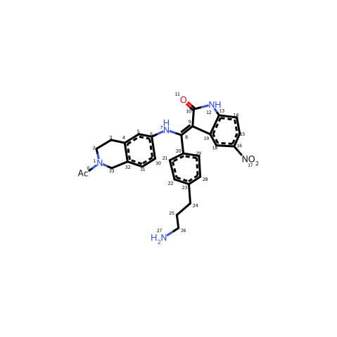 CC(=O)N1CCc2cc(NC(=C3C(=O)Nc4ccc([N+](=O)[O-])cc43)c3ccc(CCCN)cc3)ccc2C1